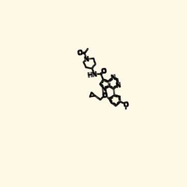 COc1ccc(OCC2CC2)c(-c2ncnc3c(C(=O)NC4CCN(C(C)=O)CC4)c[nH]c23)c1